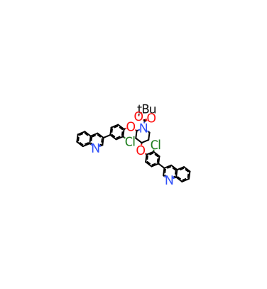 CC(C)(C)OC(=O)N1CCC(Oc2ccc(-c3cnc4ccccc4c3)cc2Cl)CC1Oc1ccc(-c2cnc3ccccc3c2)cc1Cl